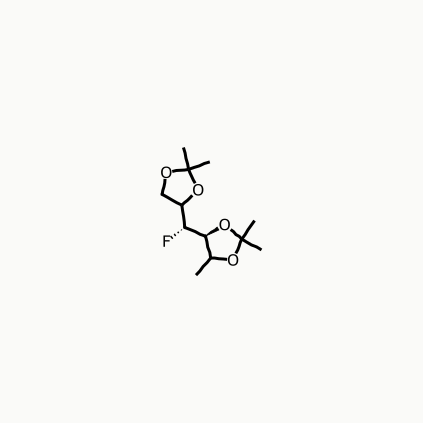 CC1OC(C)(C)O[C@@H]1[C@H](F)C1COC(C)(C)O1